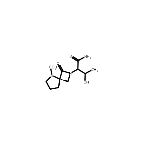 CC(O)C(C(N)=O)N1C[C@]2(CCCN2C(=O)O)C1=O